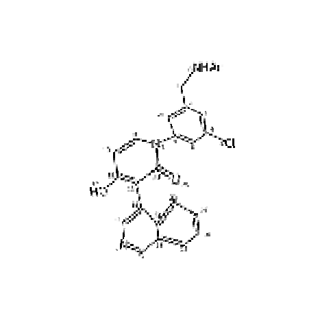 CC(=O)NCc1cc(Cl)cc(-n2ccc(O)c(-c3cncc4ccccc34)c2=O)c1